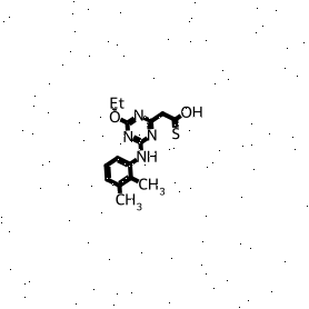 CCOc1nc(CC(O)=S)nc(Nc2cccc(C)c2C)n1